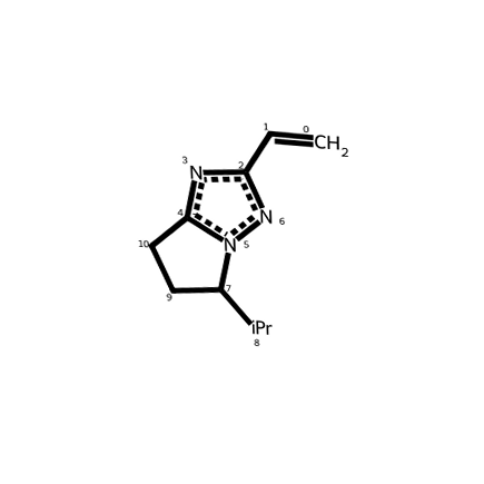 C=Cc1nc2n(n1)C(C(C)C)CC2